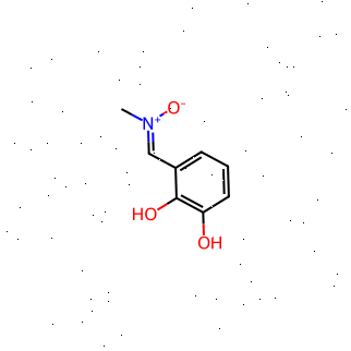 C[N+]([O-])=Cc1cccc(O)c1O